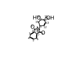 O=C1c2ccccc2C(=O)N1[C@@H]1C=C[C@H](CO)[C@@H](O)C1